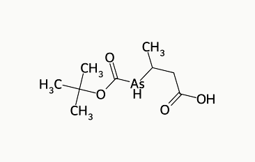 CC(CC(=O)O)[AsH]C(=O)OC(C)(C)C